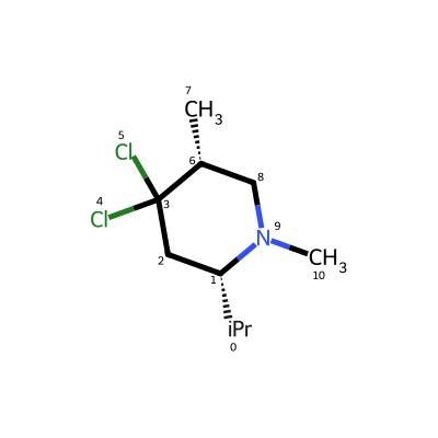 CC(C)[C@@H]1CC(Cl)(Cl)[C@H](C)CN1C